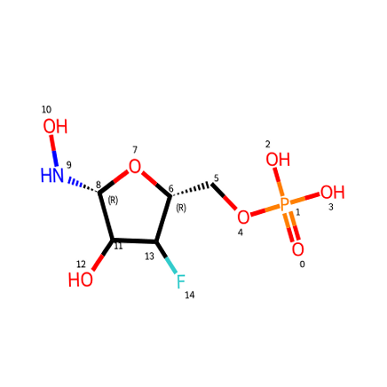 O=P(O)(O)OC[C@H]1O[C@@H](NO)C(O)C1F